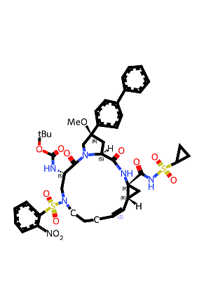 CO[C@@]1(c2ccc(-c3ccccc3)cc2)C[C@H]2C(=O)N[C@]3(C(=O)NS(=O)(=O)C4CC4)C[C@@H]3/C=C\CCCN(S(=O)(=O)c3ccccc3[N+](=O)[O-])C[C@H](NC(=O)OC(C)(C)C)C(=O)N2C1